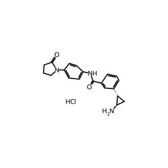 Cl.N[C@@H]1C[C@H]1c1cccc(C(=O)Nc2ccc(N3CCCC3=O)cc2)c1